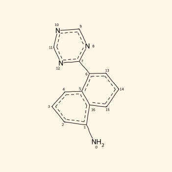 Nc1cccc2c(-c3ncncn3)cccc12